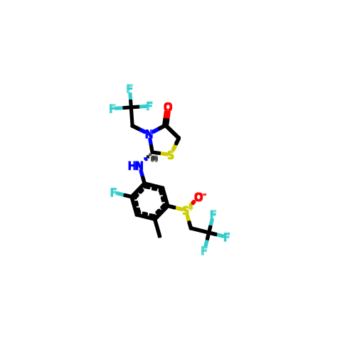 Cc1cc(F)c(N[C@H]2SCC(=O)N2CC(F)(F)F)cc1[S+]([O-])CC(F)(F)F